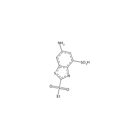 CCS(=O)(=O)c1nc2c(S(=O)(=O)O)cc(N)cc2s1